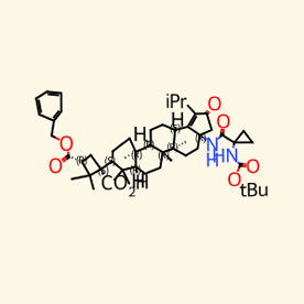 CC(C)C1=C2[C@H]3CC[C@@H]4[C@]5(C)CC[C@H]([C@@]6(C(=O)O)C[C@@H](C(=O)OCc7ccccc7)C6(C)C)C(C)(C)[C@H]5CC[C@@]4(C)[C@]3(C)CC[C@@]2(NC(=O)C2(NC(=O)OC(C)(C)C)CC2)CC1=O